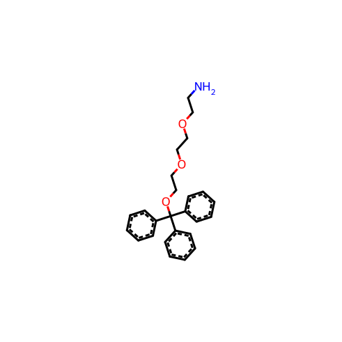 NCCOCCOCCOC(c1ccccc1)(c1ccccc1)c1ccccc1